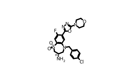 N[C@@H]1CN(Cc2ccc(Cl)cc2)c2cc(-c3nnc(N4CCOCC4)o3)c(F)cc2S(=O)(=O)C1